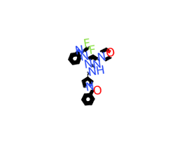 O=C(c1ccccc1)N1CC[C@H](CNc2nc(N3CCOCC3)cc(-n3c(C(F)F)nc4ccccc43)n2)C1